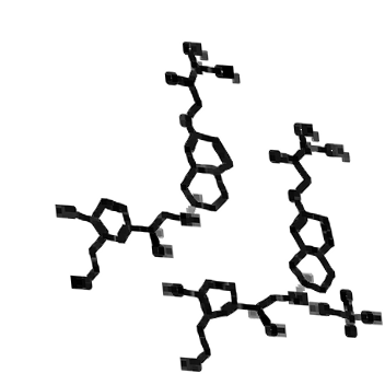 CN(C)C(=O)COc1ccc2c(c1)C[C@@H](NC[C@@H](O)c1ccc(O)c(CCO)c1)CC2.CN(C)C(=O)COc1ccc2c(c1)C[C@@H](NC[C@@H](O)c1ccc(O)c(CCO)c1)CC2.O=S(=O)(O)O